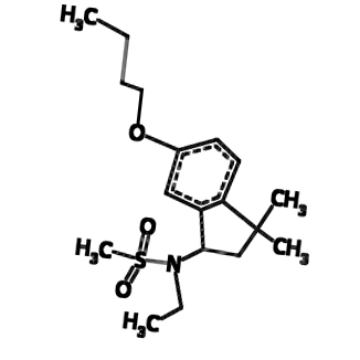 CCCCOc1ccc2c(c1)C(N(CC)S(C)(=O)=O)CC2(C)C